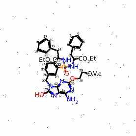 CCOC(=O)C(Cc1ccccc1)NP(=O)(NC(Cc1ccccc1)C(=O)OCC)c1cccc(Cn2c(O)nc3c(N)nc(OCCOC)nc32)c1